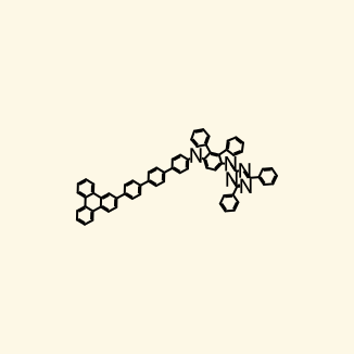 c1ccc(-c2nc(-c3ccccc3)nc(-n3c4ccccc4c4c5c6ccccc6n(-c6ccc(-c7ccc(-c8ccc(-c9ccc%10c%11ccccc%11c%11ccccc%11c%10c9)cc8)cc7)cc6)c5ccc43)n2)cc1